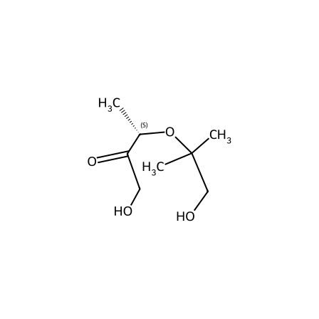 C[C@H](OC(C)(C)CO)C(=O)CO